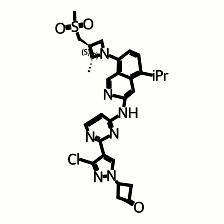 CC(C)c1ccc(N2C[C@H](CS(C)(=O)=O)[C@H]2C)c2cnc(Nc3ccnc(-c4cn(C5CC(=O)C5)nc4Cl)n3)cc12